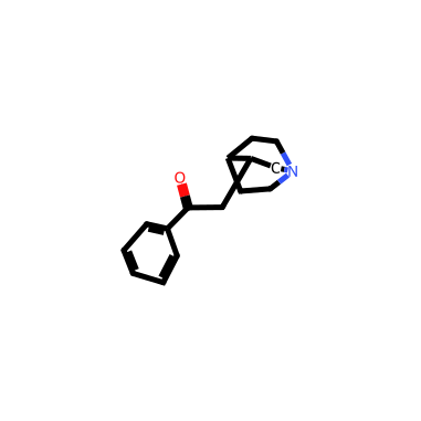 O=C(CC1CN2CCC1CC2)c1ccccc1